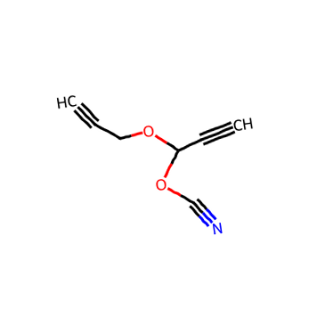 C#CCOC(C#C)OC#N